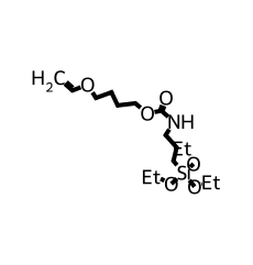 C=COCCCCOC(=O)NCCC[Si](OCC)(OCC)OCC